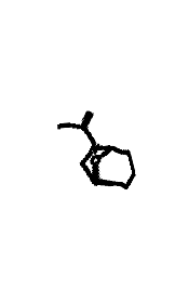 CC(C)N1CC2CCCC1O2